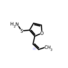 C/C=C\c1occc1SN